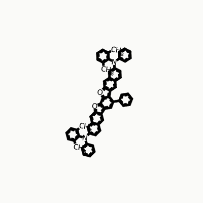 Cc1cccc(C)c1N(c1ccccc1)c1ccc2cc3c(cc2c1)oc1c3cc(-c2ccccc2)c2c3cc4ccc(N(c5ccccc5)c5c(C)cccc5C)cc4cc3oc12